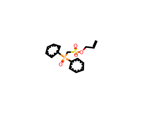 C=CCOS(=O)(=O)CP(=O)(c1ccccc1)c1ccccc1